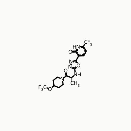 C[C@@H](Nc1nnc(-c2ccc(C(F)(F)F)[nH]c2=O)o1)C(=O)N1CCC(OC(F)(F)F)CC1